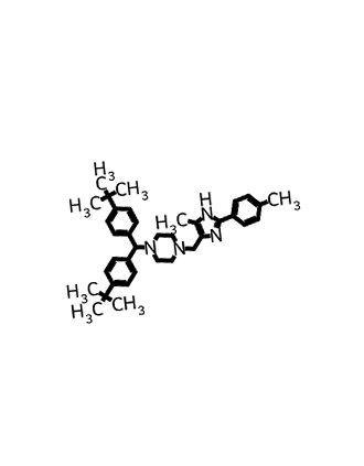 Cc1ccc(-c2nc(CN3CCN(C(c4ccc(C(C)(C)C)cc4)c4ccc(C(C)(C)C)cc4)CC3)c(C)[nH]2)cc1